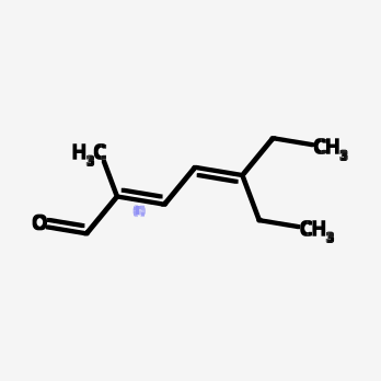 CCC(=C/C=C(\C)C=O)CC